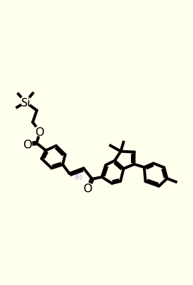 Cc1ccc(C2=CC(C)(C)c3cc(C(=O)/C=C/c4ccc(C(=O)OCC[Si](C)(C)C)cc4)ccc32)cc1